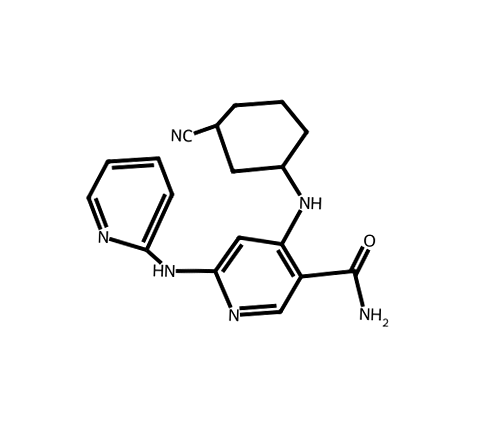 N#CC1CCCC(Nc2cc(Nc3ccccn3)ncc2C(N)=O)C1